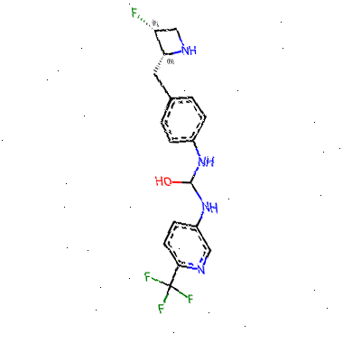 OC(Nc1ccc(C[C@H]2NC[C@H]2F)cc1)Nc1ccc(C(F)(F)F)nc1